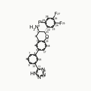 N[C@@H]1Cc2cc(-c3cccc(-c4nnn[nH]4)c3)ccc2O[C@H]1c1cc(F)c(F)cc1F